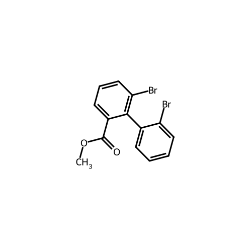 COC(=O)c1cccc(Br)c1-c1ccccc1Br